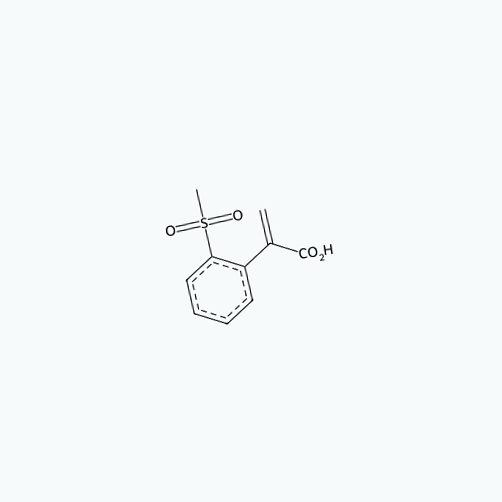 C=C(C(=O)O)c1ccccc1S(C)(=O)=O